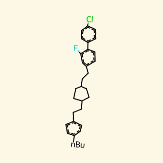 CCCCc1ccc(CCC2CCC(CCc3ccc(-c4ccc(Cl)cc4)c(F)c3)CC2)cc1